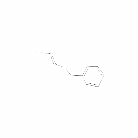 C/N=C/NCc1ccccc1